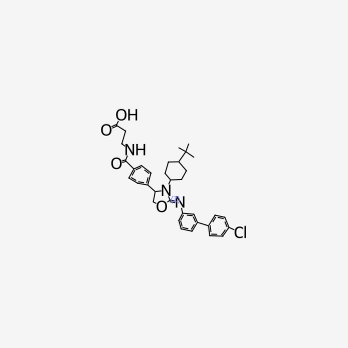 CC(C)(C)C1CCC(N2/C(=N/c3cccc(-c4ccc(Cl)cc4)c3)OCC2c2ccc(C(=O)NCCC(=O)O)cc2)CC1